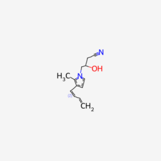 C=C/C=C\c1ccn(CC(O)CC#N)c1C